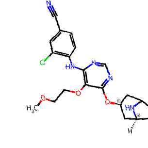 COCCOc1c(Nc2ccc(C#N)cc2Cl)ncnc1O[C@H]1CC2CC[C@@H](C1)N2